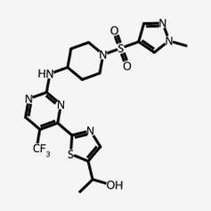 CC(O)c1cnc(-c2nc(NC3CCN(S(=O)(=O)c4cnn(C)c4)CC3)ncc2C(F)(F)F)s1